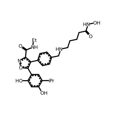 CCNC(=O)c1noc(-c2cc(C(C)C)c(O)cc2O)c1-c1ccc(CNCCCCC(=O)NO)cc1